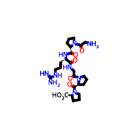 N=C(N)NCCC[C@H](NC(=O)[C@@H]1CCCN1C(=O)CN)C(=O)NCC(=O)N1CCC[C@H]1C(=O)N1CCC[C@H]1C(=O)O